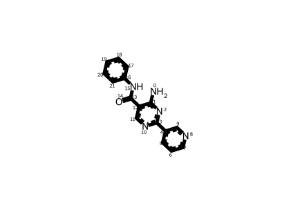 Nc1nc(-c2cccnc2)ncc1C(=O)Nc1ccccc1